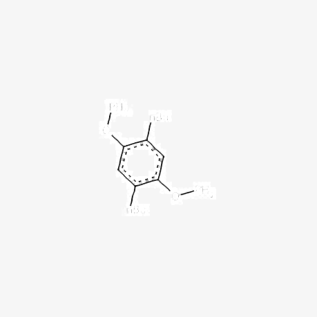 CCCCc1cc(OP)c(CCCC)cc1OP